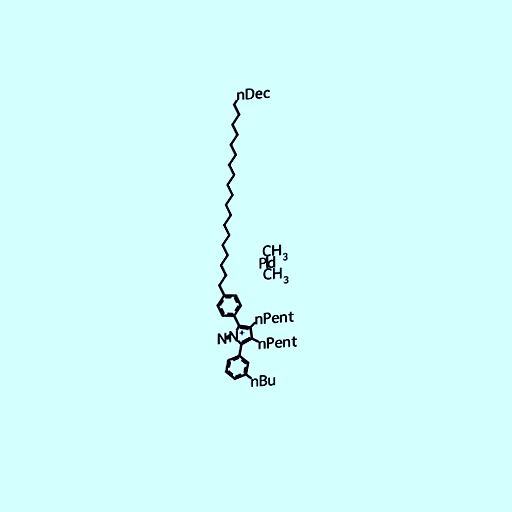 CCCCCCCCCCCCCCCCCCCCCCCCCCCCCc1ccc(C2=C(CCCCC)C(CCCCC)=C(c3cccc(CCCC)c3)[N+]2=[N-])cc1.[CH3][Pd][CH3]